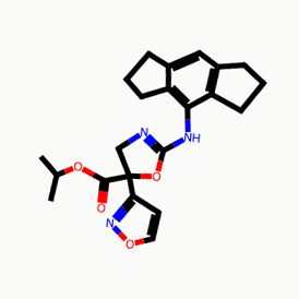 CC(C)OC(=O)C1(c2ccon2)CN=C(Nc2c3c(cc4c2CCC4)CCC3)O1